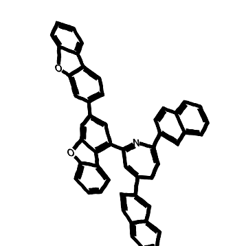 C1=C(c2ccc3ccccc3c2)CC=C(c2ccc3ccccc3c2)N=C1c1cc(-c2ccc3c(c2)oc2ccccc23)cc2oc3ccccc3c12